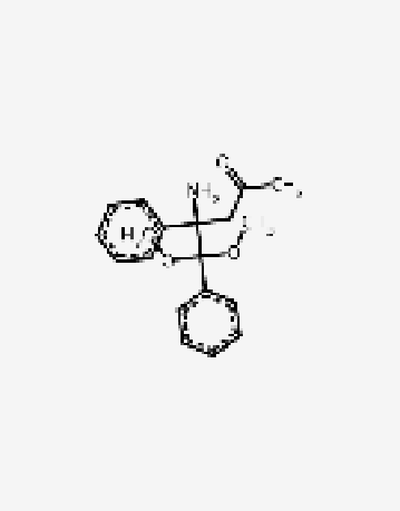 COC(OC)(c1ccccc1)C(N)(CC(C)=O)c1ccccc1